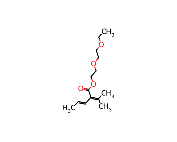 CC=CC(C(=O)OCCOCCOCC)=C(C)C